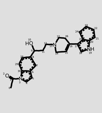 CC(=O)n1ccc2cc(C(O)CCN3CC=C(c4c[nH]c5ccccc45)CC3)ccc21